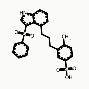 Cc1ccc(S(=O)(=O)O)cc1CCCc1cccc2[nH]cc(S(=O)(=O)c3ccccc3)c12